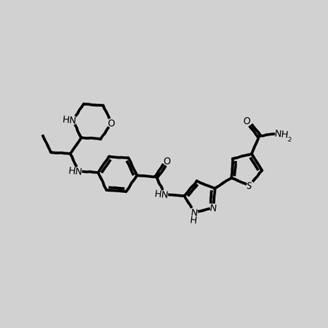 CCC(Nc1ccc(C(=O)Nc2cc(-c3cc(C(N)=O)cs3)n[nH]2)cc1)C1COCCN1